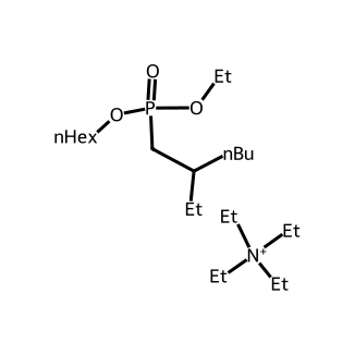 CCCCCCOP(=O)(CC(CC)CCCC)OCC.CC[N+](CC)(CC)CC